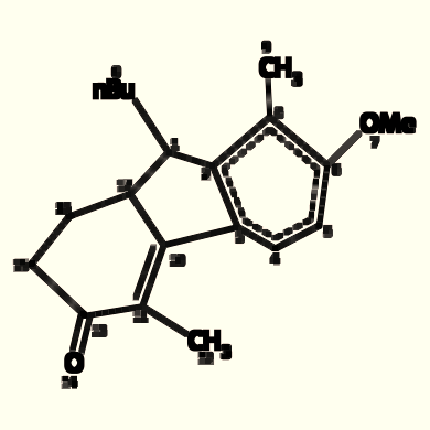 CCCCC1c2c(ccc(OC)c2C)C2=C(C)C(=O)CCC21